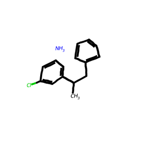 CC(Cc1ccccc1)c1cccc(Cl)c1.N